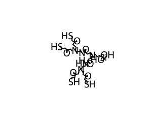 C[Si](O)(O)CCCN(CCC(=O)NCCN(CCC(=O)CCS)CCC(=O)CCS)CCC(=O)NCCN(CCC(=O)CCS)CCC(=O)CCS